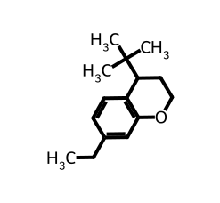 CCc1ccc2c(c1)OCCC2C(C)(C)C